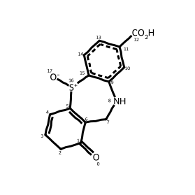 O=C1CC=CC2=C1CNc1cc(C(=O)O)ccc1[S+]2[O-]